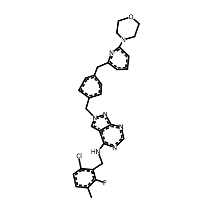 Cc1ccc(Cl)c(CNc2ncnc3nn(Cc4ccc(Cc5cccc(N6CCOCC6)n5)cc4)cc23)c1F